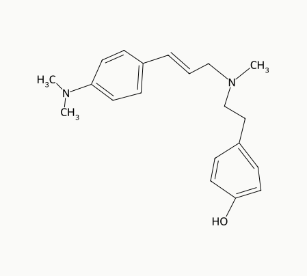 CN(CC=Cc1ccc(N(C)C)cc1)CCc1ccc(O)cc1